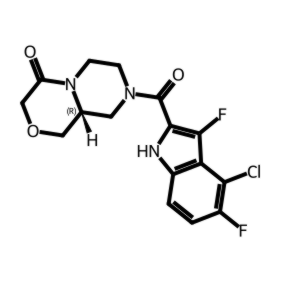 O=C(c1[nH]c2ccc(F)c(Cl)c2c1F)N1CCN2C(=O)COC[C@H]2C1